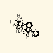 CC1(C)C(=O)N(c2ncccn2)C2C=CC=C(B3OC(C)(C)C(C)(C)O3)C21